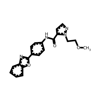 COCCn1nccc1C(=O)Nc1ccc(-c2nc3ccccc3o2)cc1